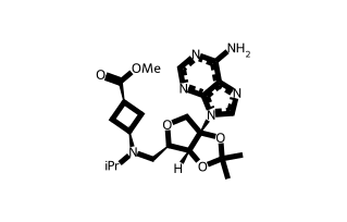 COC(=O)[C@H]1C[C@@H](N(C[C@H]2OC[C@]3(n4cnc5c(N)ncnc54)OC(C)(C)O[C@H]23)C(C)C)C1